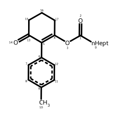 CCCCCCCC(=O)OC1=C(c2ccc(C)cc2)C(=O)CCC1